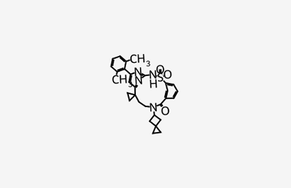 Cc1cccc(C)c1-c1cc2nc(n1)NS(=O)(=O)c1cccc(c1)C(=O)N(C1CC3(CC3)C1)CCC21CC1